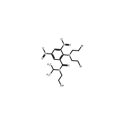 CC(C)N(CCO)C(=O)c1cc([N+](=O)[O-])cc([N+](=O)[O-])c1N(CCBr)CCBr